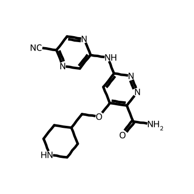 N#Cc1cnc(Nc2cc(OCC3CCNCC3)c(C(N)=O)nn2)cn1